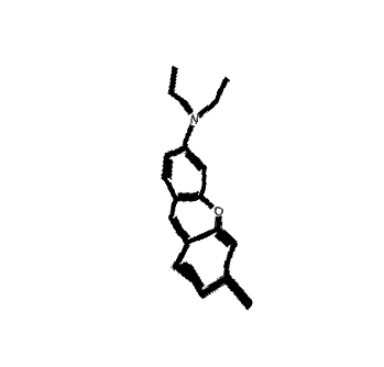 C=c1ccc2c(c1)Oc1cc(N(CC)CC)ccc1C=2